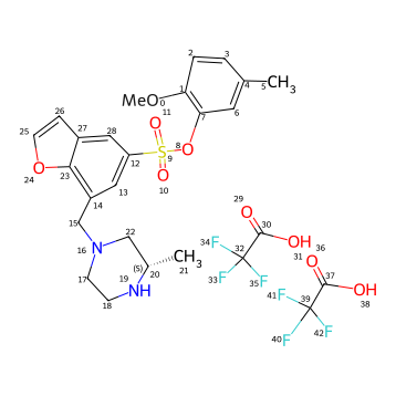 COc1ccc(C)cc1OS(=O)(=O)c1cc(CN2CCN[C@@H](C)C2)c2occc2c1.O=C(O)C(F)(F)F.O=C(O)C(F)(F)F